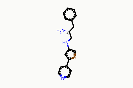 N[C@@H](CNc1csc(-c2ccncc2)c1)Cc1ccccc1